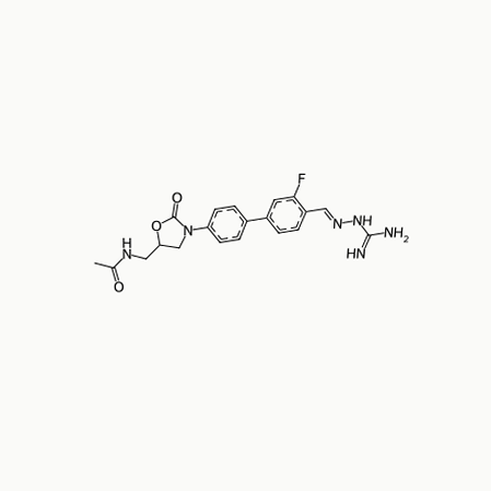 CC(=O)NCC1CN(c2ccc(-c3ccc(C=NNC(=N)N)c(F)c3)cc2)C(=O)O1